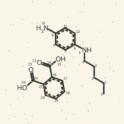 CCCCCNc1ccc(N)cc1.O=C(O)c1ccccc1C(=O)O